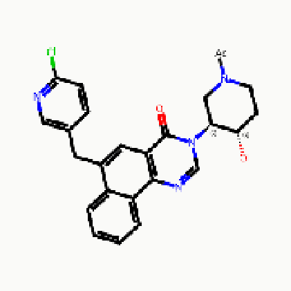 CC(=O)N1CC[C@H](O)[C@@H](n2cnc3c(cc(Cc4ccc(Cl)nc4)c4ccccc43)c2=O)C1